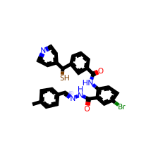 Cc1ccc(/C=N/NC(=O)c2cc(Br)ccc2NC(=O)c2cccc(C(S)c3ccncc3)c2)cc1